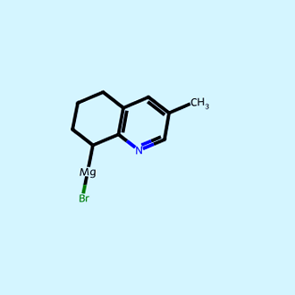 Cc1cnc2c(c1)CCC[CH]2[Mg][Br]